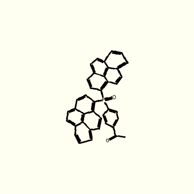 CC(=O)c1ccc(P(=O)(c2ccc3ccc4cccc5ccc2c3c45)c2ccc3ccc4cccc5ccc2c3c45)cc1